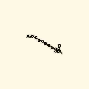 COCCOCCOCCOCCOCCOCCOCCOC(=O)C1(C)CC2CC1C1C3C=CC(C3)C21